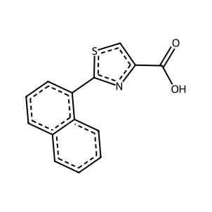 O=C(O)c1csc(-c2cccc3ccccc23)n1